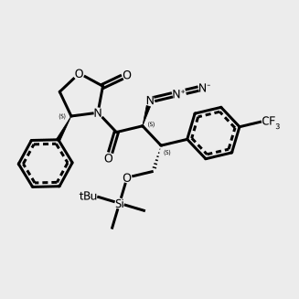 CC(C)(C)[Si](C)(C)OC[C@@H](c1ccc(C(F)(F)F)cc1)[C@H](N=[N+]=[N-])C(=O)N1C(=O)OC[C@@H]1c1ccccc1